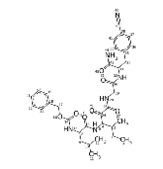 CCC(C)C(NC(=O)C(CC(C)C)NC(=O)OCc1ccccc1)C(=O)C(=O)NCC(=O)NC(Cc1ccc(C#N)cc1)C(N)=O